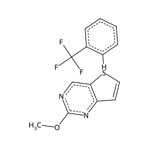 COc1ncc2c(n1)C=C[SH]2c1ccccc1C(F)(F)F